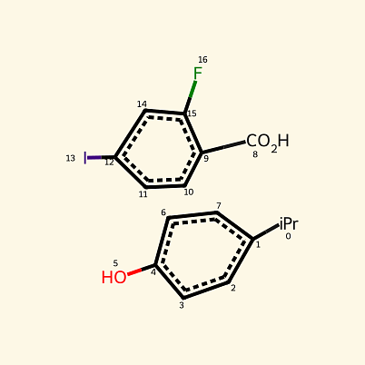 CC(C)c1ccc(O)cc1.O=C(O)c1ccc(I)cc1F